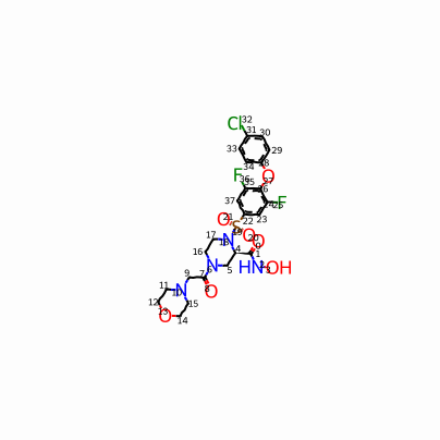 O=C(NO)[C@H]1CN(C(=O)CN2CCOCC2)CCN1S(=O)(=O)c1cc(F)c(Oc2ccc(Cl)cc2)c(F)c1